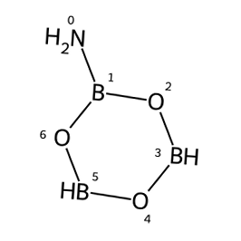 NB1OBOBO1